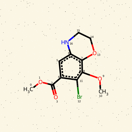 COC(=O)c1cc2c(c(OC)c1Br)OCCN2